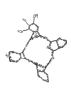 Oc1cc2c3nc4nc(nc5[nH]c(nc6nc(nc([nH]3)c2c(O)c1O)-c1ccccc1-6)c1ccccc51)-c1ccccc1-4.[Ag]